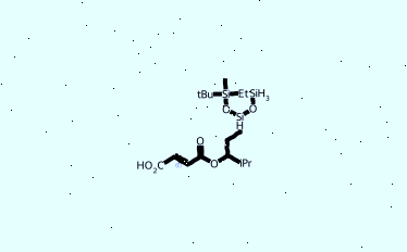 CC[Si](C)(O[SiH](CCC(OC(=O)/C=C/C(=O)O)C(C)C)O[SiH3])C(C)(C)C